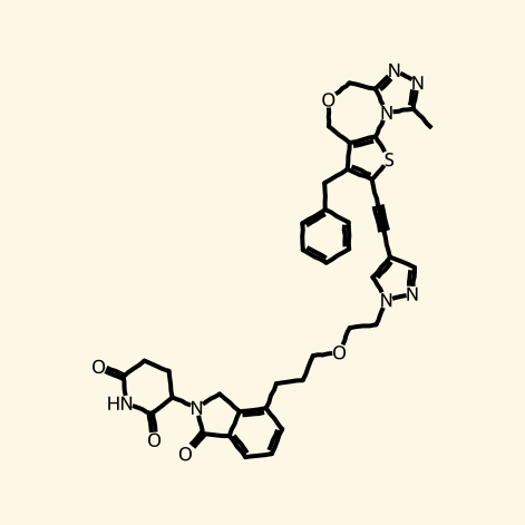 Cc1nnc2n1-c1sc(C#Cc3cnn(CCOCCCc4cccc5c4CN(C4CCC(=O)NC4=O)C5=O)c3)c(Cc3ccccc3)c1COC2